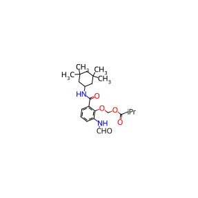 CC(C)C(=O)OCOc1c(NC=O)cccc1C(=O)NC1CC(C)(C)CC(C)(C)C1